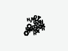 CC(C)(C)[C@H](NC(=O)NC1(C(F)(F)c2ccccc2)CCCCC1)C(=O)N1C[C@H]2[C@@H]([C@H]1C(=O)NC(C(=O)C(N)=O)C1CC1)C2(C)C